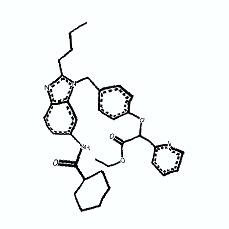 CCCCc1nc2ccc(NC(=O)C3CCCCC3)cc2n1Cc1ccc(OC(C(=O)OCC)c2ccccn2)cc1